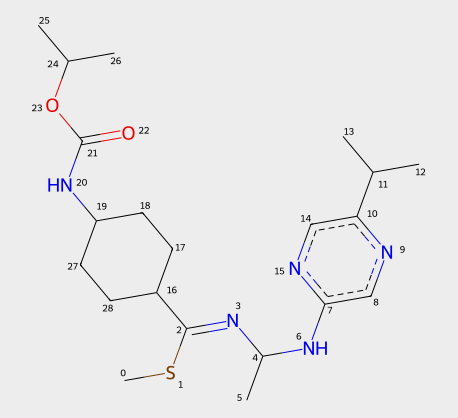 CS/C(=N\C(C)Nc1cnc(C(C)C)cn1)C1CCC(NC(=O)OC(C)C)CC1